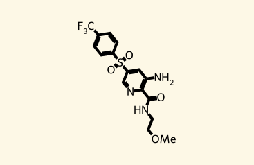 COCCNC(=O)c1ncc(S(=O)(=O)c2ccc(C(F)(F)F)cc2)cc1N